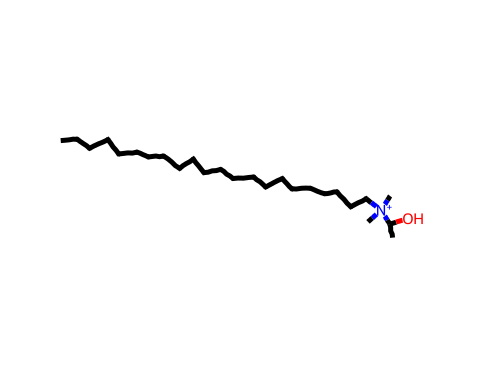 CCCCCCCCCCCCCCCCCCCCCC[N+](C)(C)C(C)O